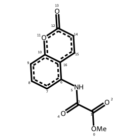 COC(=O)C(=O)Nc1cccc2oc(=O)ccc12